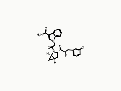 NC(=O)c1cn(CC(=O)N2[C@@H]3C[C@@H]3C[C@H]2C(=O)N(F)Cc2cccc(Cl)c2)c2ccccc12